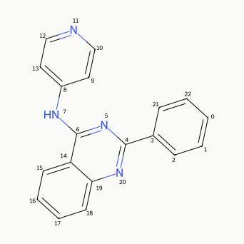 c1ccc(-c2nc(Nc3ccncc3)c3ccccc3n2)cc1